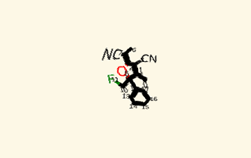 CC1=C(C#N)/C(=C(\C)C#N)OC1(CF)c1ccccc1